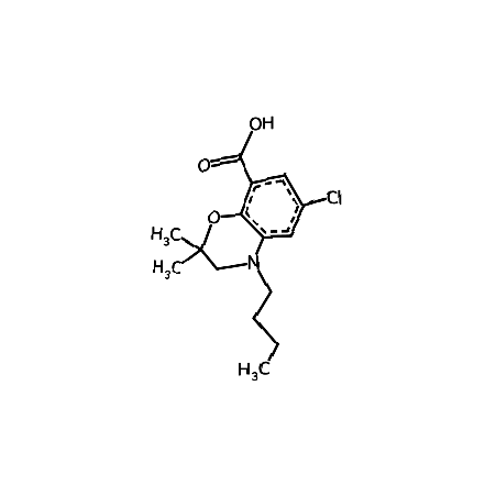 CCCCN1CC(C)(C)Oc2c(C(=O)O)cc(Cl)cc21